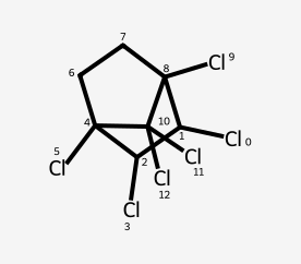 ClC1C(Cl)C2(Cl)CCC1(Cl)C2(Cl)Cl